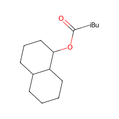 CCC(C)C(=O)OC1CCCC2CCCCC21